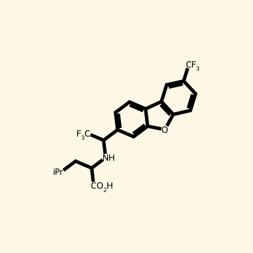 CC(C)CC(NC(c1ccc2c(c1)oc1ccc(C(F)(F)F)cc12)C(F)(F)F)C(=O)O